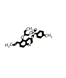 C=CC(COS(=O)(=O)c1ccc(C)cc1)Oc1c(/C=C/C)ccc2ncccc12